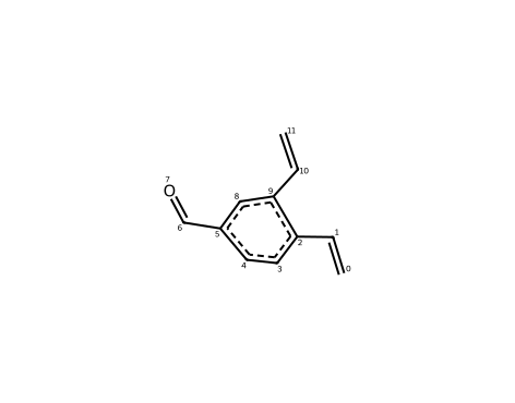 C=Cc1ccc(C=O)cc1C=C